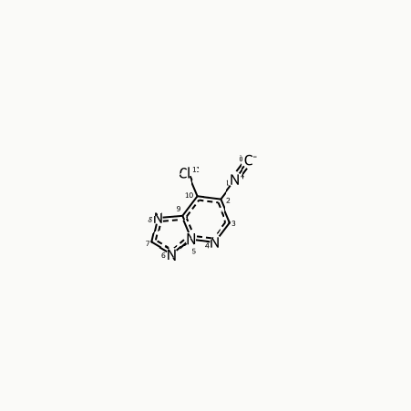 [C-]#[N+]c1cnn2ncnc2c1Cl